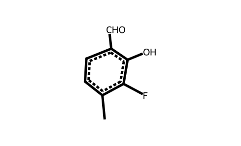 Cc1ccc(C=O)c(O)c1F